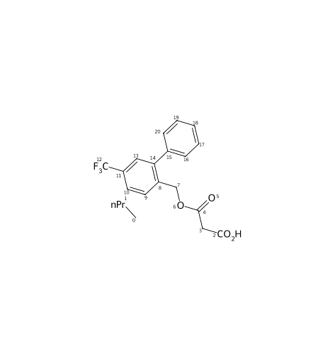 CCCC.O=C(O)CC(=O)OCc1ccc(C(F)(F)F)cc1-c1ccccc1